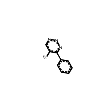 Brc1cnnnc1-c1ccccc1